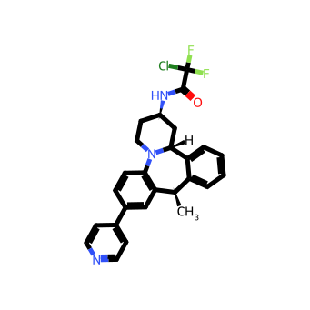 C[C@@H]1c2ccccc2[C@H]2C[C@H](NC(=O)C(F)(F)Cl)CCN2c2ccc(-c3ccncc3)cc21